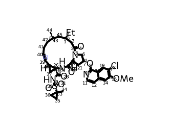 CC[C@H]1CC(=O)N2C[C@H](Oc3nccc4cc(OC)c(Cl)cc34)C[C@H]2C(=O)N[C@]2(C(=O)NS(=O)(=O)C3(C)CC3)C[C@H]2/C=C\CC[C@@H](C)C1